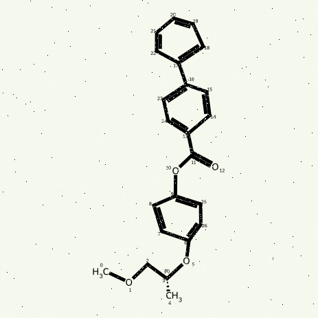 COC[C@@H](C)Oc1ccc(OC(=O)c2ccc(-c3ccccc3)cc2)cc1